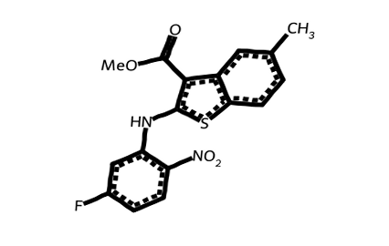 COC(=O)c1c(Nc2cc(F)ccc2[N+](=O)[O-])sc2ccc(C)cc12